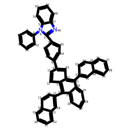 c1ccc(-n2c(-c3ccc(-c4ccc5c(-c6ccc7ccccc7c6)c6ccccc6c(-c6ccc7ccccc7c6)c5c4)cc3)nc3ccccc32)cc1